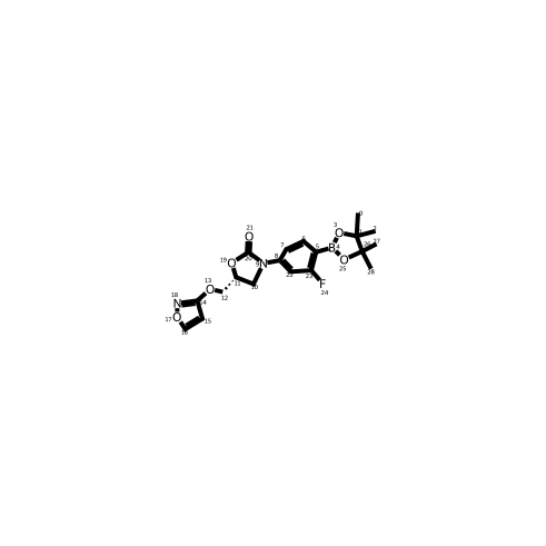 CC1(C)OB(c2ccc(N3C[C@H](COc4ccon4)OC3=O)cc2F)OC1(C)C